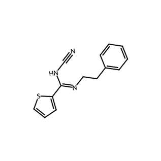 N#CN/C(=N\CCc1ccccc1)c1cccs1